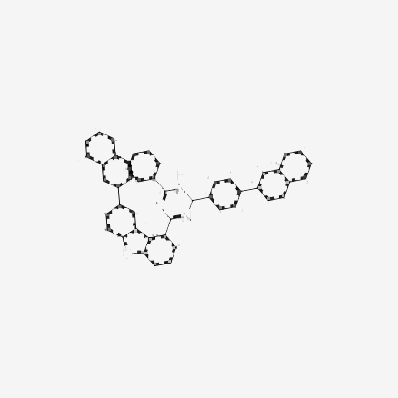 c1ccc(C2=NC(c3cccc4oc5ccc(-c6ccc7ccccc7c6)cc5c34)=NC(c3ccc(-c4ccc5ccccc5c4)cc3)N2)cc1